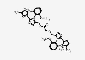 COc1cccc(OC)c1-n1c(COCC(=O)OCc2nnc(-c3ccc(C)o3)n2-c2c(OC)cccc2OC)nnc1-c1ccc(C)o1